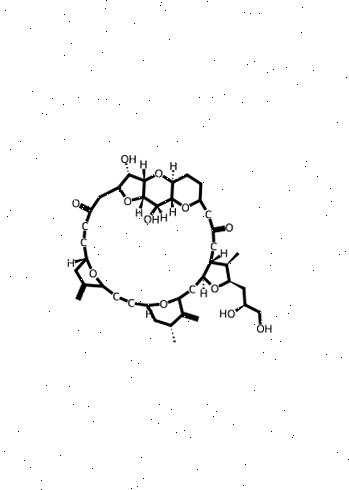 C=C1C[C@@H]2CCC(=O)CC3O[C@H]4[C@@H](O)[C@H]5OC(CC[C@@H]5O[C@H]4[C@H]3O)CC(=O)C[C@@H]3[C@@H](C)[C@@H](C[C@H](O)CO)O[C@H]3CC3O[C@@H](CCC1O2)C[C@@H](C)C3=C